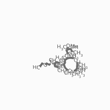 C#CCOCCN(C)[C@@H]1C[C@H](O[C@@H]2[C@@H](C)[C@H](O[C@@H]3C[C@@](C)(OC)[C@@H](O)[C@H](C)O3)[C@@H](C)C(=O)O[C@H](I)[C@@](C)(O)[C@H](O)[C@@H](C)N(C)C[C@H](C)C[C@@]2(C)O)O[C@H](C)C1